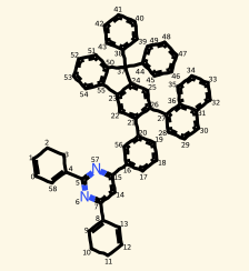 C1=CCCC(c2nc(C3=CCCC=C3)cc(-c3cccc(-c4cc5c(cc4-c4cccc6ccccc46)C(c4ccccc4)(c4ccccc4)c4ccccc4-5)c3)n2)=C1